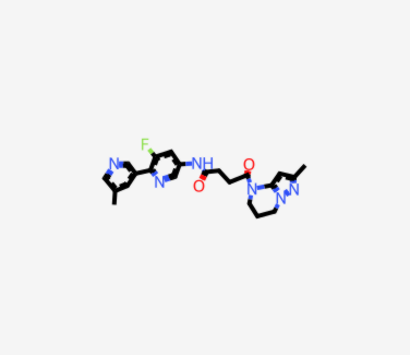 Cc1cncc(-c2ncc(NC(=O)CCC(=O)N3CCCn4nc(C)cc43)cc2F)c1